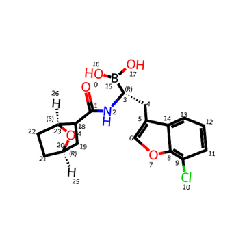 O=C(N[C@@H](Cc1coc2c(Cl)cccc12)B(O)O)C1C[C@H]2CC[C@@H]1O2